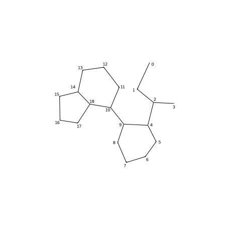 CCC(C)C1CCCCC1C1CCCC2CCCC21